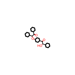 O=C(c1ccc(OC(C(=O)c2ccccc2)c2ccccc2)cc1)C(O)c1ccccc1